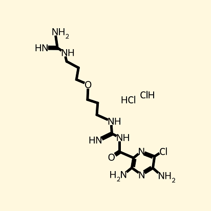 Cl.Cl.N=C(N)NCCCOCCCNC(=N)NC(=O)c1nc(Cl)c(N)nc1N